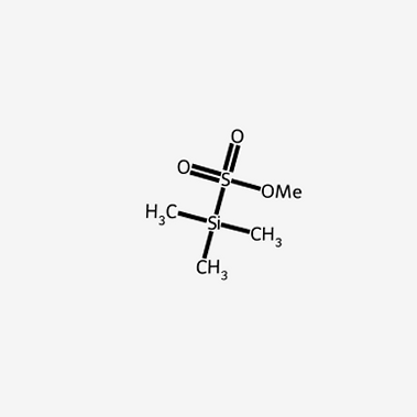 COS(=O)(=O)[Si](C)(C)C